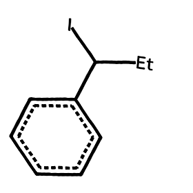 CCC(I)c1ccccc1